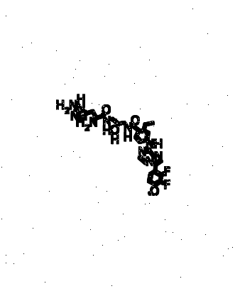 CCc1cc(Nc2nccn3c(-c4ccc(OC)c(F)c4F)cnc23)ccc1C(=O)NCC(O)CNC(=O)C(N)CCNC(=N)N